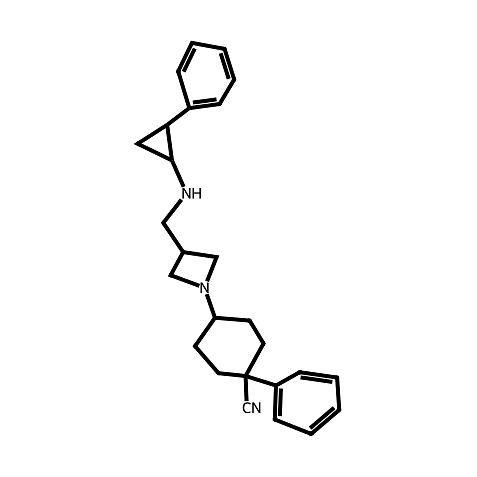 N#CC1(c2ccccc2)CCC(N2CC(CNC3CC3c3ccccc3)C2)CC1